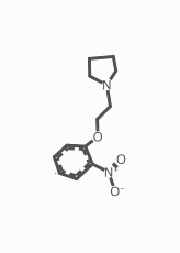 O=[N+]([O-])c1c[c]ccc1OCCN1CCCC1